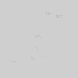 CN/C=C1/C=C(NC(=O)c2coc(N3CCC(O)C3)n2)C(C2CC2)=CC1=N